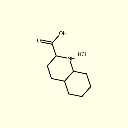 Cl.O=C(O)C1CCC2CCCCC2N1